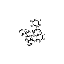 CCCC(F)(F)c1nc(C(C)CC)n(Cc2ccccc2COC(=O)c2ccccc2)n1